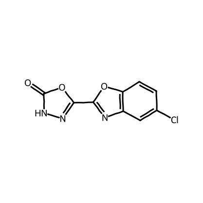 O=c1[nH]nc(-c2nc3cc(Cl)ccc3o2)o1